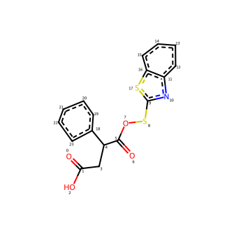 O=C(O)CC(C(=O)OSc1nc2ccccc2s1)c1ccccc1